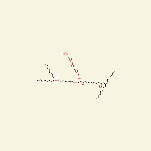 CCCCCCCCC(CCCCCCCC)CC(=O)CCCCCCCOC(COCCCCCCCC(=O)OC(CCCCCCCC)CCCCCCCC)COCCOCCOCCOCCO